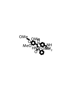 COCCOc1c(OC)cc(C(Nc2ccc(C(=N)N)cc2)c2nn(-c3ccccc3OC)c(=O)[nH]2)cc1OC